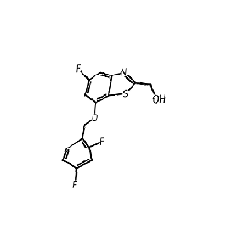 OCc1nc2cc(F)cc(OCc3ccc(F)cc3F)c2s1